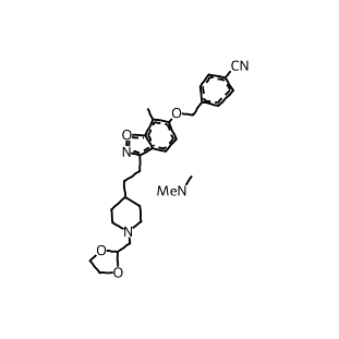 CNC.Cc1c(OCc2ccc(C#N)cc2)ccc2c(CCC3CCN(CC4OCCO4)CC3)noc12